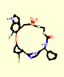 O=C1CCCS(=O)(=O)CCc2c(c(F)cc3[nH]ccc23)Oc2ccc(F)c(c2)-c2ncc([nH]2)C(c2ccccc2)N1